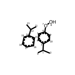 CC(C)c1ccc(OO)cc1.CC(C)c1ccccc1